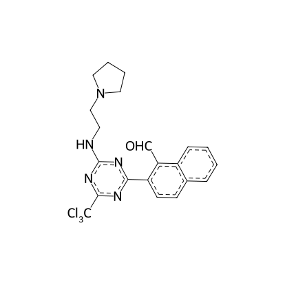 O=Cc1c(-c2nc(NCCN3CCCC3)nc(C(Cl)(Cl)Cl)n2)ccc2ccccc12